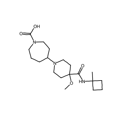 COC1(C(=O)NC2(C)CCC2)CCN(C2CCCN(C(=O)O)CC2)CC1